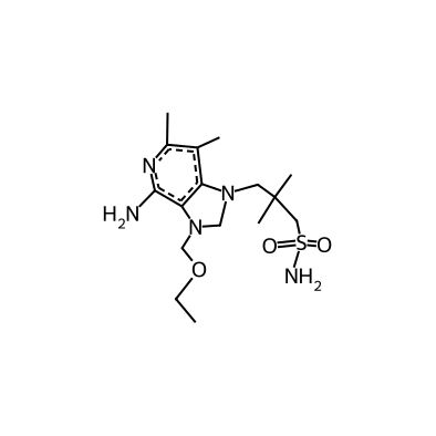 CCOCN1CN(CC(C)(C)CS(N)(=O)=O)c2c(C)c(C)nc(N)c21